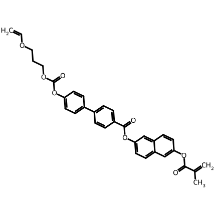 C=COCCCOC(=O)Oc1ccc(-c2ccc(C(=O)Oc3ccc4cc(OC(=O)C(=C)C)ccc4c3)cc2)cc1